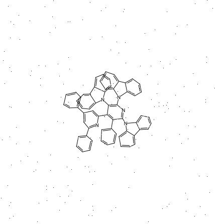 c1ccc(-c2cc(-c3ccccc3)nc(-c3c(-c4ccccc4)c(-n4c5ccccc5c5ccccc54)nc(-n4c5ccccc5c5ccccc54)c3-n3c4ccccc4c4ccccc43)c2)cc1